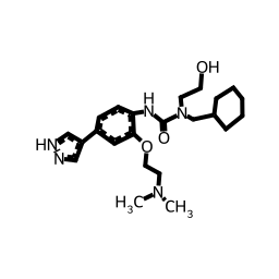 CN(C)CCOc1cc(-c2cn[nH]c2)ccc1NC(=O)N(CCO)CC1CCCCC1